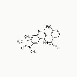 Cc1nc(N[C@H](C)c2cccc(C(F)(F)F)c2)c2cc3c(cc2n1)C(C)(C)C(=O)N3C